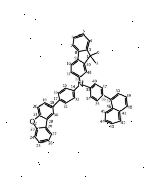 CC1(C)c2ccccc2-c2ccc(N(c3ccc(-c4ccc5oc6ccccc6c5c4)cc3)c3ccc(-c4cccc5ccccc45)cc3)cc21